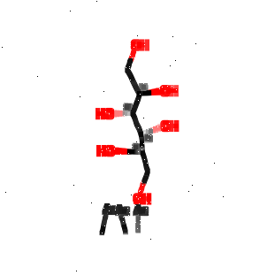 CC(C)=O.CC(C)=O.CC(C)=O.OC[C@@H](O)[C@@H](O)[C@H](O)[C@H](O)CO